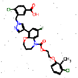 Cc1c(Cl)cccc1OCCOC(=O)N1CCCOc2c(-c3cnn(Cc4cc(C(=O)O)ccc4Cl)c3)cc(F)cc21